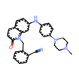 CN1CCN(c2ccc(Nc3ccc4ccc(=O)n(Cc5ccccc5C#N)c4c3)cc2)CC1